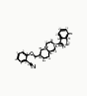 N#Cc1ccccc1OCC1CCC2CN(c3noc4ccccc34)CCN2C1